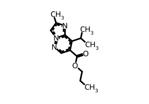 CCCOC(=O)c1cnn2cc(C)nc2c1C(C)C